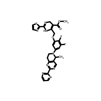 COC(=O)C1=C(COc2cc(N3CCc4nc(-c5ncccn5)ncc4C3C)cc(F)c2F)NC(c2nccs2)=NC1